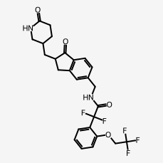 O=C1CCC(CC2Cc3cc(CNC(=O)C(F)(F)c4ccccc4OCC(F)(F)F)ccc3C2=O)CN1